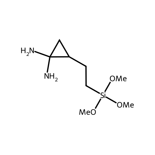 CO[Si](CCC1CC1(N)N)(OC)OC